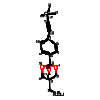 CC(C)(C)CC12COC(c3ccc(C#C[Si](C)(C)C)cc3)(OC1)OC2